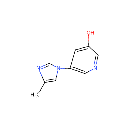 Cc1cn(-c2cncc(O)c2)cn1